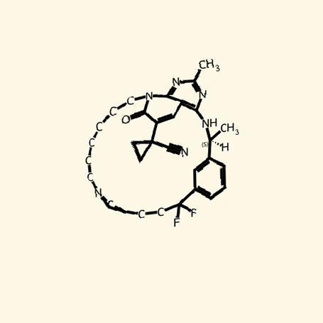 Cc1nc2c3cc(C4(C#N)CC4)c(=O)n(c3n1)CCCCCCN1CC(CCC(F)(F)c3cccc(c3)[C@H](C)N2)C1